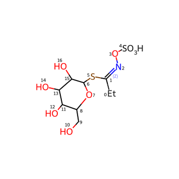 CC/C(=N/OS(=O)(=O)O)SC1OC(CO)C(O)C(O)C1O